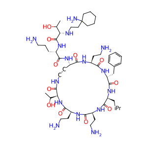 CC(C)C[C@@H]1NC(=O)[C@@H](Cc2ccccc2)NC(=O)[C@H](CCN)NC(=O)[C@@H](NC(=O)[C@H](CCCN)NC(=O)[C@@H](NCCC2(N)CCCCC2)C(C)O)CCNC(=O)[C@H](C(C)O)NC(=O)[C@H](CCN)NC(=O)[C@H](CCN)NC1=O